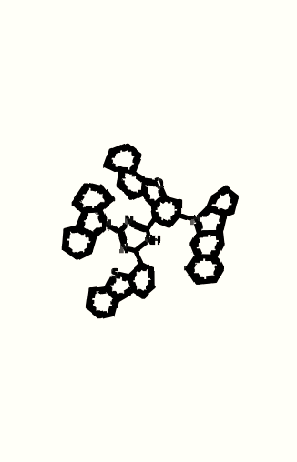 c1ccc2cc3c(cc2c1)c1ccccc1n3-c1cc(C2=NC(n3c4ccccc4c4ccccc43)=NC(c3cccc4c3sc3ccccc34)N2)c2c(c1)oc1c3ccccc3ccc12